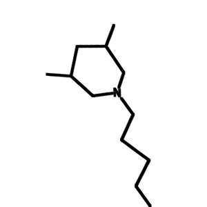 CNCCCCN1CC(C)CC(C)C1